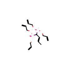 C=CCOP(=O)(OCC=C)C(C=CC)P(=O)(OCC=C)OCC=C